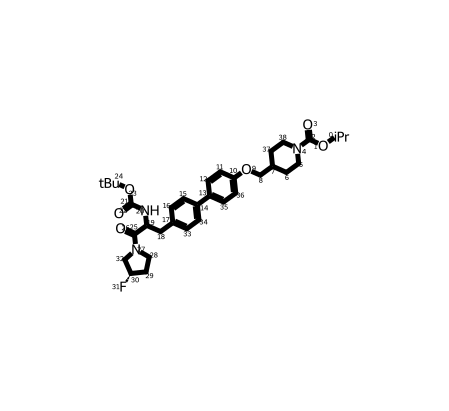 CC(C)OC(=O)N1CCC(COc2ccc(-c3ccc(CC(NC(=O)OC(C)(C)C)C(=O)N4CC[C@H](F)C4)cc3)cc2)CC1